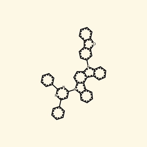 c1ccc(-c2cc(-n3c4ccccc4c4c5c6ccccc6n(-c6ccc7c(c6)oc6ccccc67)c5ccc43)nc(-c3ccccc3)n2)cc1